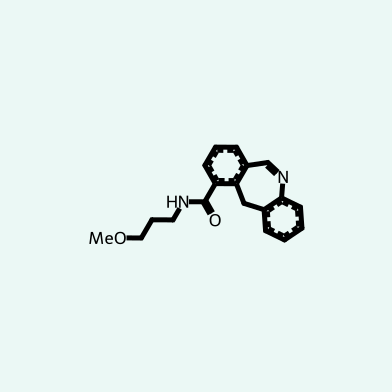 COCCCNC(=O)c1cccc2c1Cc1ccccc1N=C2